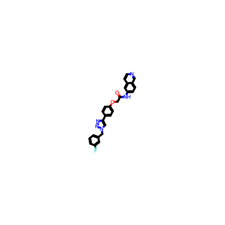 O=C(COc1ccc(-c2cn(Cc3cccc(F)c3)nn2)cc1)Nc1ccc2cnccc2c1